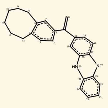 C=C(c1ccc2c(c1)CCCCCC2)c1ccc2c(c1)Nc1ccccc1S2